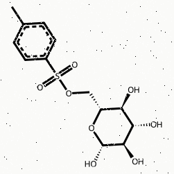 Cc1ccc(S(=O)(=O)OC[C@H]2O[C@@H](O)[C@H](O)[C@@H](O)[C@@H]2O)cc1